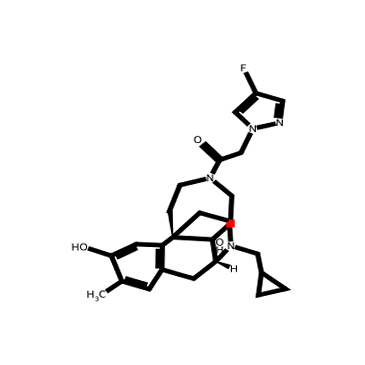 Cc1cc2c(cc1O)[C@@]13CCN(C(=O)Cn4cc(F)cn4)CC[C@@]1(O)[C@@H](C2)N(CC1CC1)CC3